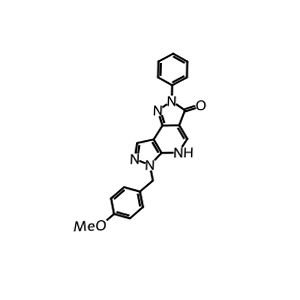 COc1ccc(Cn2ncc3c4nn(-c5ccccc5)c(=O)c-4c[nH]c32)cc1